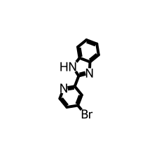 Brc1ccnc(-c2nc3ccccc3[nH]2)c1